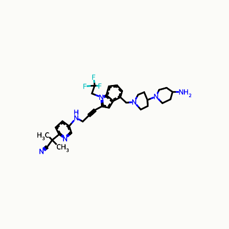 CC(C)(C#N)c1ccc(NCC#Cc2cc3c(CN4CCC(N5CCC(N)CC5)CC4)cccc3n2CC(F)(F)F)cn1